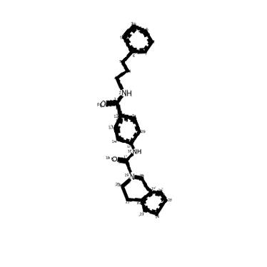 O=C(NCCCc1ccccc1)c1ccc(NC(=O)N2CCc3ccccc3C2)cc1